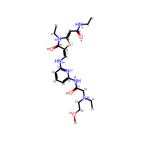 CCNC(=O)/C=c1\s/c(=C/Nc2cccc(NC(=O)CN(CC)CCOC)n2)c(=O)n1CC